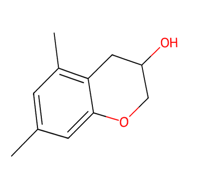 Cc1cc(C)c2c(c1)OCC(O)C2